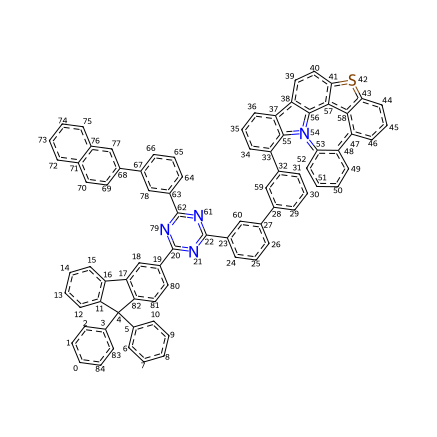 c1ccc(C2(c3ccccc3)c3ccccc3-c3cc(-c4nc(-c5cccc(-c6cccc(-c7cccc8c9ccc%10sc%11cccc%12c%13ccccc%13n(c78)c9c%10c%11%12)c6)c5)nc(-c5cccc(-c6ccc7ccccc7c6)c5)n4)ccc32)cc1